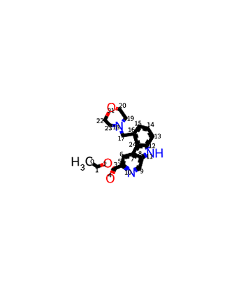 CCOC(=O)c1cc2c(cn1)[nH]c1cccc(CN3CCOCC3)c12